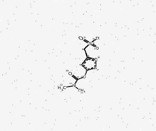 CCS(=O)(=O)Cc1cc(OC(=O)N(C)C)no1